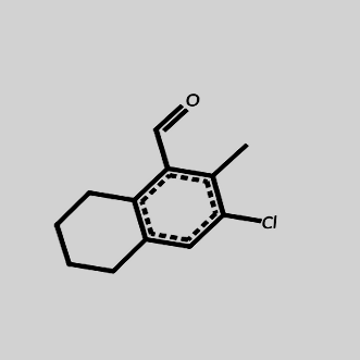 Cc1c(Cl)cc2c(c1C=O)CCCC2